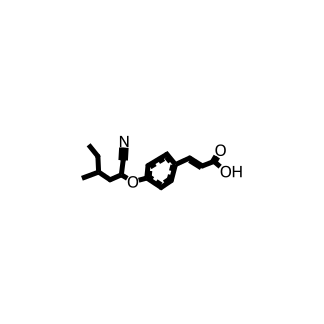 CCC(C)CC(C#N)Oc1ccc(C=CC(=O)O)cc1